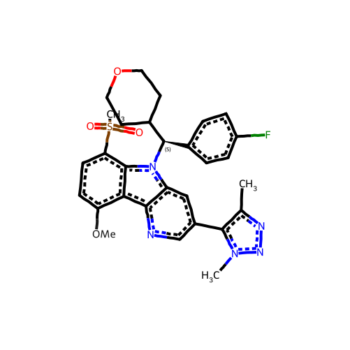 COc1ccc(S(C)(=O)=O)c2c1c1ncc(-c3c(C)nnn3C)cc1n2[C@H](c1ccc(F)cc1)C1CCOCC1